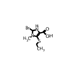 CCSC1=C(C(=O)O)NC(Br)N1C